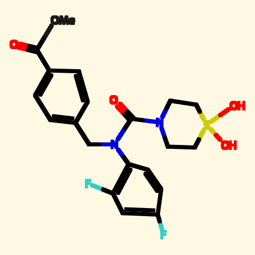 COC(=O)c1ccc(CN(C(=O)N2CCS(O)(O)CC2)c2ccc(F)cc2F)cc1